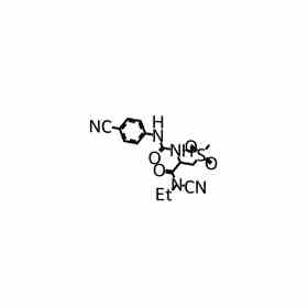 CCN(C#N)C(=O)C(CS(C)(=O)=O)NC(=O)Nc1ccc(C#N)cc1